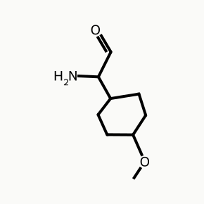 COC1CCC(C(N)C=O)CC1